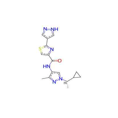 Cc1nn([C@@H](C)C2CC2)cc1NC(=O)c1csc(-c2cn[nH]c2)n1